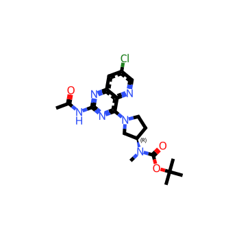 CC(=O)Nc1nc(N2CC[C@@H](N(C)C(=O)OC(C)(C)C)C2)c2ncc(Cl)cc2n1